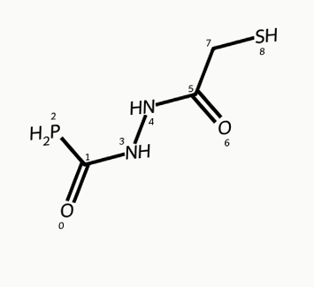 O=C(P)NNC(=O)CS